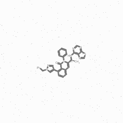 CC(C)Cn1cc(-c2cccc3cc([C@H](C)Nc4ncnc5scnc45)n(-c4ccccc4)c(=O)c23)cn1